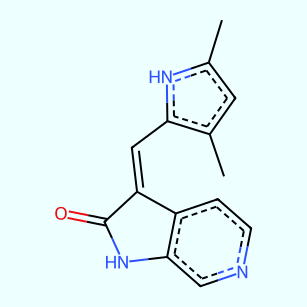 Cc1cc(C)c(C=C2C(=O)Nc3cnccc32)[nH]1